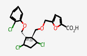 O=C(O)c1ccc(COC[C@H]2C(Cl)CC(Cl)[C@@H]2COc2ccccc2Cl)o1